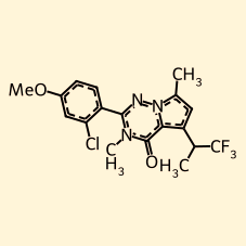 COc1ccc(-c2nn3c(C)cc(C(C)C(F)(F)F)c3c(=O)n2C)c(Cl)c1